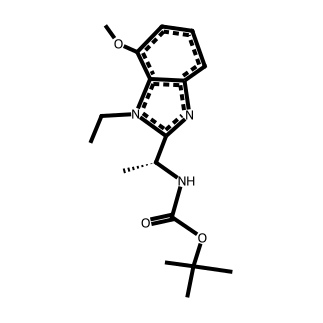 CCn1c([C@@H](C)NC(=O)OC(C)(C)C)nc2cccc(OC)c21